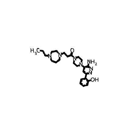 CCCN1CCCN(CCC(=O)N2CCN(c3cc(-c4ccccc4O)nnc3N)CC2)CC1